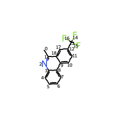 Cc1nc2ccccc2c2ccc(C(F)(F)F)cc12